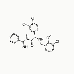 COc1c(Cl)cccc1CNC(C(=O)NC(=N)c1ccccc1)c1ccc(Cl)c(Cl)c1